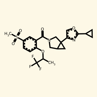 CC(Oc1ccc(S(C)(=O)=O)cc1C(=O)N1CC2CC2(c2coc(C3CC3)n2)C1)C(F)(F)F